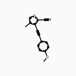 COc1ccc(C#Cc2c(C)csc2C#N)cc1